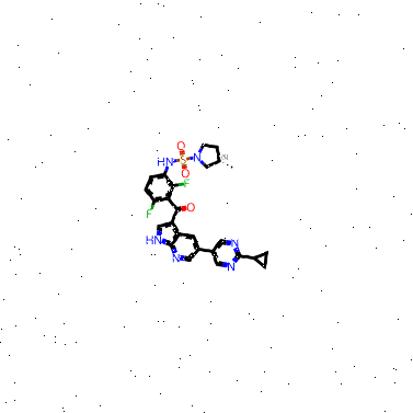 C[C@H]1CCN(S(=O)(=O)Nc2ccc(F)c(C(=O)c3c[nH]c4ncc(-c5cnc(C6CC6)nc5)cc34)c2F)C1